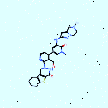 CC(=O)N1CCn2nc(Nc3cc(-c4ccnc(N5Cc6c(sc7c6CCCC7)C(=O)N5)c4CO)cn(C)c3=O)cc2C1